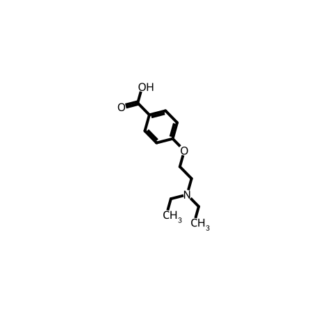 CCN(CC)CCOc1ccc(C(=O)O)cc1